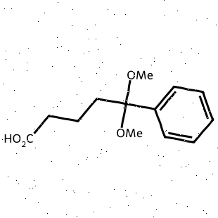 COC(CCCC(=O)O)(OC)c1ccccc1